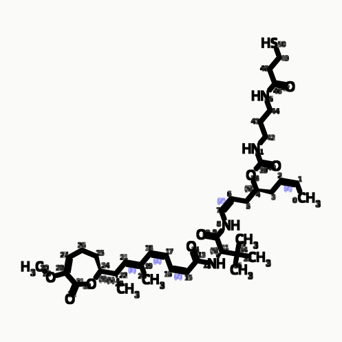 C/C=C\C[C@@H](C/C=C\NC(=O)[C@@H](NC(=O)\C=C/C=C\C(C)=C\[C@H](C)[C@@H]1CCC=C(OC)C(=O)O1)C(C)(C)C)OC(=O)NCCCNC(=O)CCS